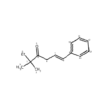 CCC(C)(C)C(=O)C/C=C/c1ccccc1